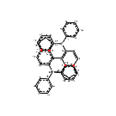 C1=CC2OCOC2C(c2c(P(c3ccccc3)c3ccccc3)ccc3c2OCO3)=C1P(c1ccccc1)c1ccccc1